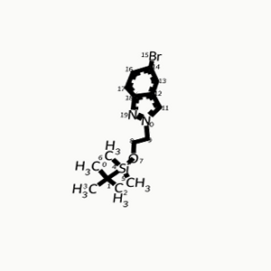 CC(C)(C)[Si](C)(C)OCCn1cc2cc(Br)ccc2n1